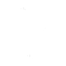 C=CCC1CC=C(C#N)C=C1C(F)(F)F